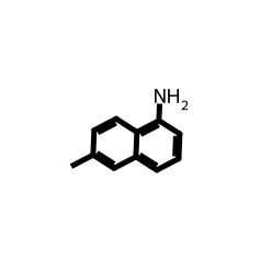 Cc1ccc2c(N)cccc2c1